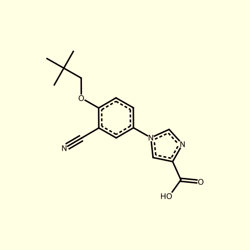 CC(C)(C)COc1ccc(-n2cnc(C(=O)O)c2)cc1C#N